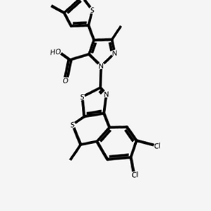 Cc1cc(-c2c(C)nn(-c3nc4c(s3)SC(C)c3cc(Cl)c(Cl)cc3-4)c2C(=O)O)sn1